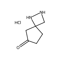 Cl.O=C1CCC2(CNN2)C1